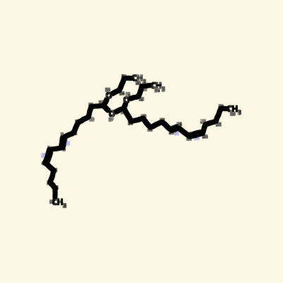 CCCC/C=C\C=C\CCCCC(OCCC)OC(CCCC/C=C/C=C\CCCC)OCCC